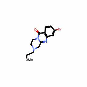 COCCN1CCn2c(nc3cc(Br)ccc3c2=O)C1